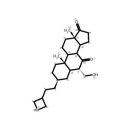 C[C@]12CC[C@H](CCC3CNC3)CC1[C@@H](CO)C(=O)C1C2CC[C@]2(C)C(=O)CCC12